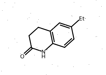 C[CH]c1ccc2c(c1)CCC(=O)N2